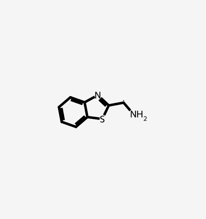 N[CH]c1nc2ccccc2s1